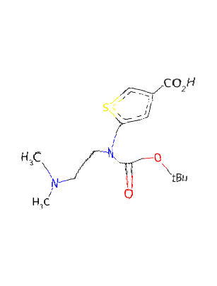 CN(C)CCN(C(=O)OC(C)(C)C)c1cc(C(=O)O)cs1